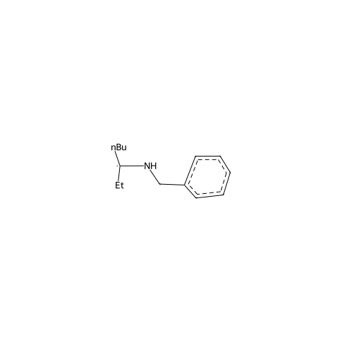 CCCC[C](CC)NCc1ccccc1